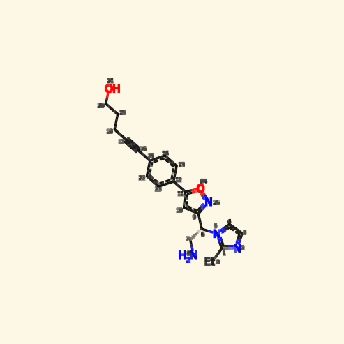 CCc1nccn1[C@H](CN)c1cc(-c2ccc(C#CCCCO)cc2)on1